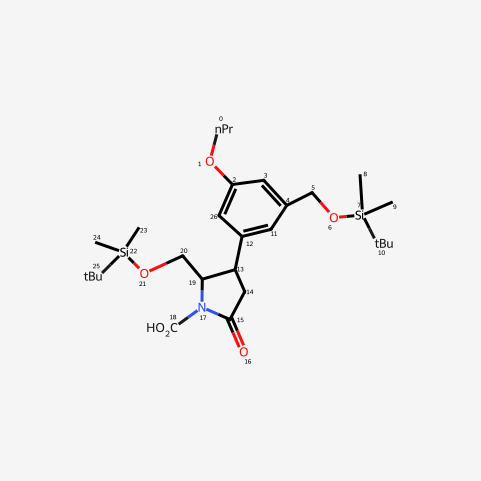 CCCOc1cc(CO[Si](C)(C)C(C)(C)C)cc(C2CC(=O)N(C(=O)O)C2CO[Si](C)(C)C(C)(C)C)c1